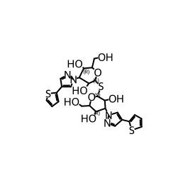 OCC1O[C@@H](S[C@@H]2OC(CO)[C@H](O)C(n3cc(-c4cccs4)cn3)C2O)C(O)C(n2cc(-c3cccs3)cn2)[C@H]1O